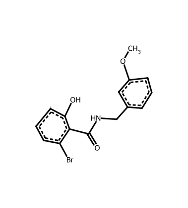 COc1cccc(CNC(=O)c2c(O)[c]ccc2Br)c1